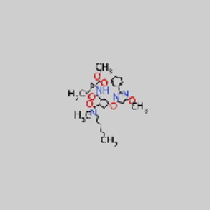 C=CCCCCN(C)C(=O)C1CC(Oc2cc(OC)nc(-c3ccccc3)n2)CC1C(=O)NC1(C(=O)OCC)CC1C=C